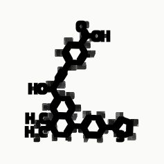 CC1(C)CC=C(c2ccc(-c3cccs3)cc2)c2ccc(C(O)C#Cc3ccc(C(=O)O)cc3)cc21